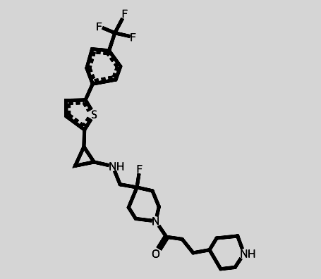 O=C(CCC1CCNCC1)N1CCC(F)(CNC2CC2c2ccc(-c3ccc(C(F)(F)F)cc3)s2)CC1